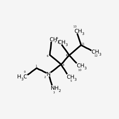 CCN(N)C(C)(CC)C(C)(C)C(C)C